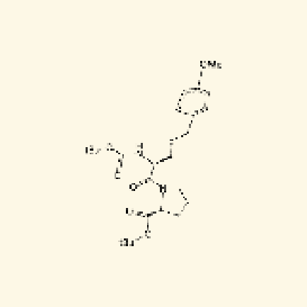 COc1ccc(CSC[C@H](NC(=O)OC(C)(C)C)C(=O)N2CCC[C@H]2C(=O)OC(C)(C)C)cc1